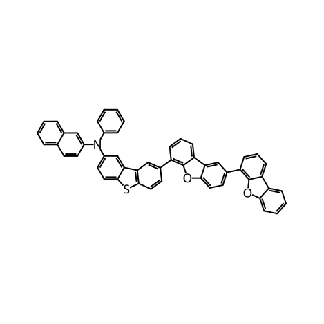 c1ccc(N(c2ccc3ccccc3c2)c2ccc3sc4ccc(-c5cccc6c5oc5ccc(-c7cccc8c7oc7ccccc78)cc56)cc4c3c2)cc1